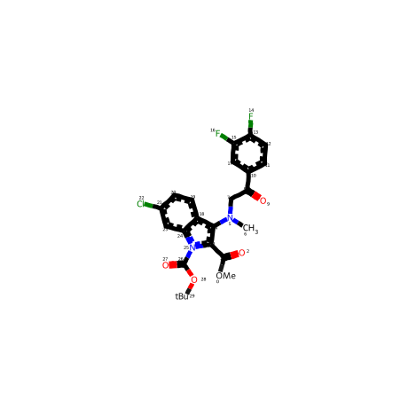 COC(=O)c1c(N(C)CC(=O)c2ccc(F)c(F)c2)c2ccc(Cl)cc2n1C(=O)OC(C)(C)C